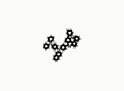 c1ccc(N(c2ccccc2)c2ccc(N(c3ccc(-c4nc5ccccc5c5c4ccc4c6ccccc6n(-c6ccccc6)c45)cc3)c3ccc4ccccc4c3)cc2)cc1